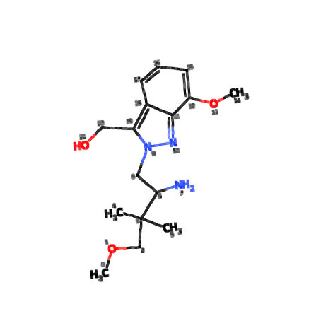 COCC(C)(C)C(N)Cn1nc2c(OC)cccc2c1CO